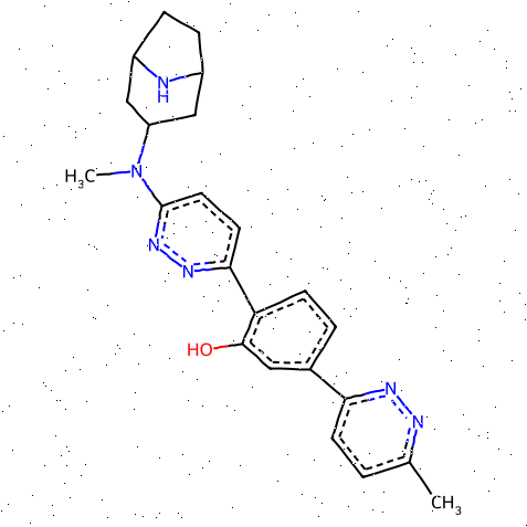 Cc1ccc(-c2ccc(-c3ccc(N(C)C4CC5CCC(C4)N5)nn3)c(O)c2)nn1